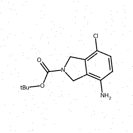 CC(C)(C)OC(=O)N1Cc2c(N)ccc(Cl)c2C1